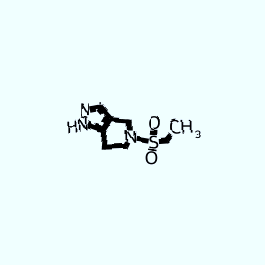 CCS(=O)(=O)N1CCc2[nH]n[c]c2C1